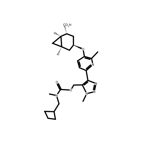 Cc1nc(-c2nnn(C)c2COC(=O)N(C)CC2CCC2)ccc1O[C@H]1C[C@H]2C[C@H]2[C@H](C(=O)O)C1